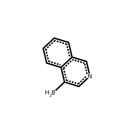 Bc1cncc2ccccc12